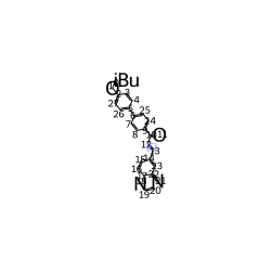 CCC(C)Oc1ccc(-c2ccc(C(=O)/C=C/c3ccc4nccnc4c3)cc2)cc1